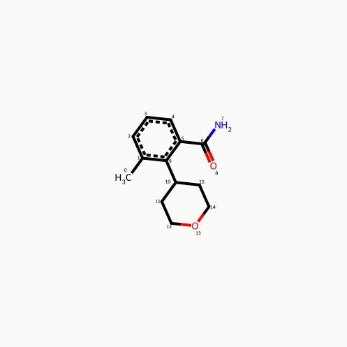 Cc1cccc(C(N)=O)c1C1CCOCC1